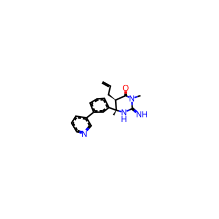 C=CC[C@H]1C(=O)N(C)C(=N)N[C@]1(C)c1cccc(-c2cccnc2)c1